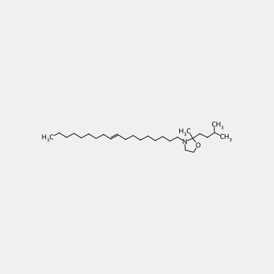 CCCCCCCCC=CCCCCCCCCN1CCOC1(C)CCC(C)C